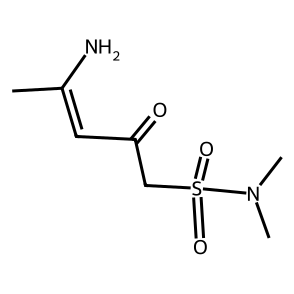 CC(N)=CC(=O)CS(=O)(=O)N(C)C